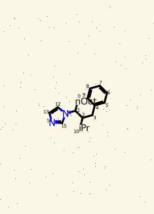 CCCCCCCCC(C(Cc1ccccc1)C(C)C)n1ccnc1